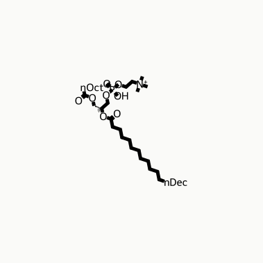 CCCCCCCCCCCCCCCCCCCCCC(=O)O[C@H](COC(=O)CCCCCCCC)COP(=O)(O)OCC[N+](C)(C)C